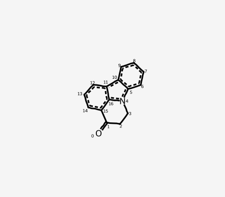 O=C1CCn2c3ccccc3c3cccc1c32